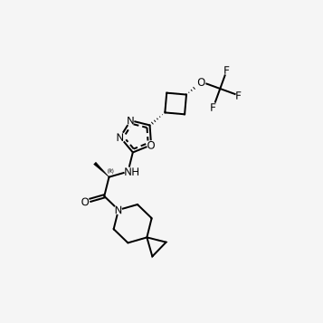 C[C@@H](Nc1nnc([C@H]2C[C@@H](OC(F)(F)F)C2)o1)C(=O)N1CCC2(CC1)CC2